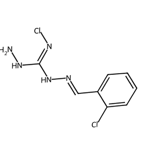 NNC(=NCl)NN=Cc1ccccc1Cl